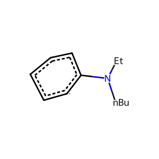 CCCCN(CC)c1[c]cccc1